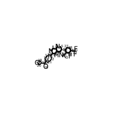 C[C@@H](Nc1ccnc2cnc(N3CCN(C(=O)C4COC4)CC3)cc12)c1cccc(C(F)F)c1F